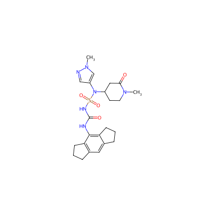 CN1CCC(N(c2cnn(C)c2)S(=O)(=O)NC(=O)Nc2c3c(cc4c2CCC4)CCC3)CC1=O